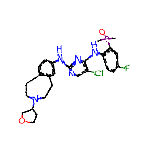 CP(C)(=O)c1cc(F)ccc1Nc1nc(Nc2ccc3c(c2)CCN(C2CCOC2)CC3)ncc1Cl